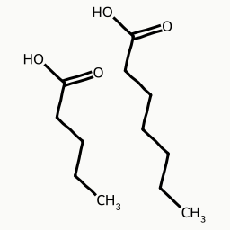 CCCCC(=O)O.CCCCCCC(=O)O